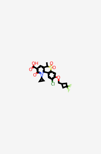 CC1c2cc(C(=O)O)c(=O)n(C3CC3)c2-c2cc(Cl)c(OCC3CC(F)(F)C3)cc2S1(=O)=O